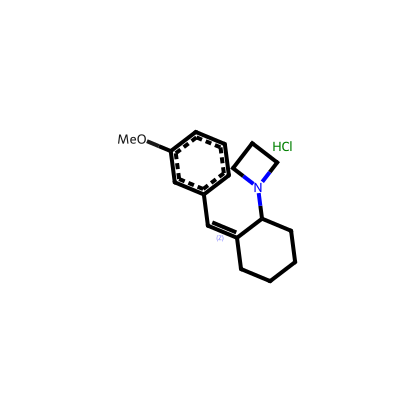 COc1cccc(/C=C2/CCCCC2N2CCC2)c1.Cl